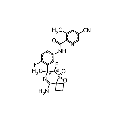 Cc1cc(C#N)cnc1C(=O)Nc1ccc(F)c([C@@]2(C)N=C(N)C3(CCC3)S(=O)(=O)[C@@H]2F)c1